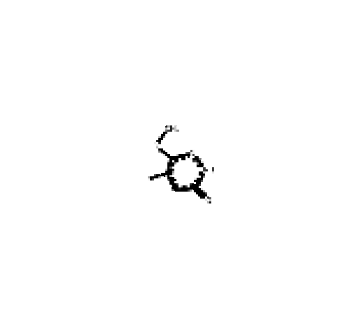 COc1n[nH]c(=O)cc1I